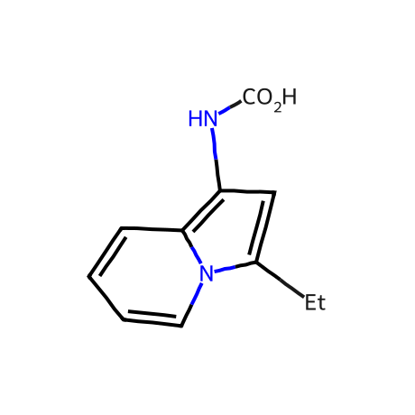 CCc1cc(NC(=O)O)c2ccccn12